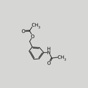 CC(=O)Nc1cccc(COC(C)=O)c1